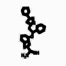 N=C(N)c1cc2c(OC(Cn3cc(-c4ccccc4)nn3)c3ccccc3)cccc2s1